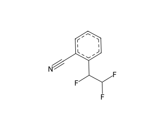 N#Cc1ccccc1C(F)C(F)F